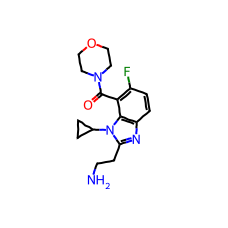 NCCc1nc2ccc(F)c(C(=O)N3CCOCC3)c2n1C1CC1